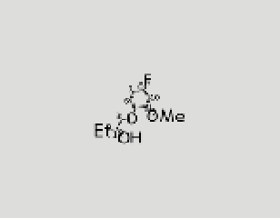 CCC(O)COc1ccc(F)cc1OC